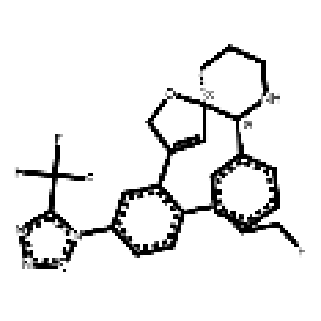 FCCOc1ccc(-n2nnnc2C(F)(F)F)cc1C1=C[C@@]2(CCCN[C@H]2c2ccccc2)OC1